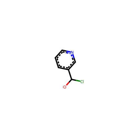 [O]C(Cl)c1cccnc1